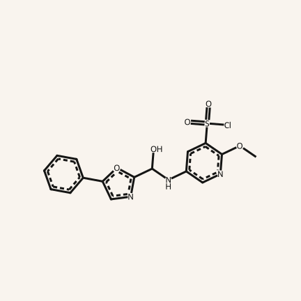 COc1ncc(NC(O)c2ncc(-c3ccccc3)o2)cc1S(=O)(=O)Cl